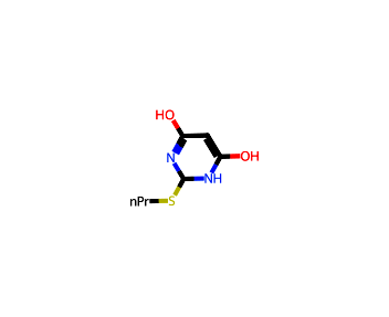 CCCSC1N=C(O)C=C(O)N1